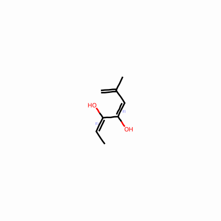 C=C(C)/C=C(O)\C(O)=C/C